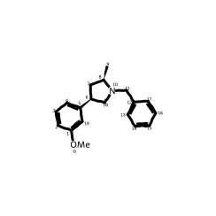 COc1cccc([C@H]2C[C@@H](C)N(Cc3ccccc3)C2)c1